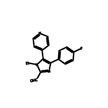 CCn1c(C=O)nc(-c2ccc(F)cc2)c1-c1ccncc1